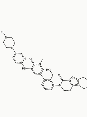 CCN1CCN(c2ccc(Nc3cc(-c4cccc(N5CCc6c(cc7n6CCCC7)C5=O)c4CO)cn(C)c3=O)nc2)CC1